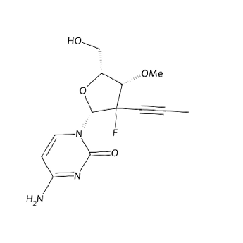 CC#CC1(F)[C@@H](OC)[C@@H](CO)O[C@H]1n1ccc(N)nc1=O